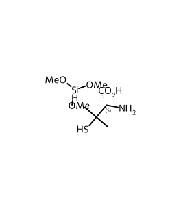 CC(C)(S)[C@@H](N)C(=O)O.CO[SiH](OC)OC